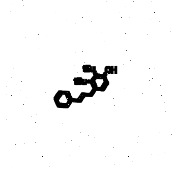 CC(C)(C)c1c(O)ccc(CC=Cc2ccccc2)c1C(C)(C)C